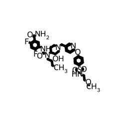 CCC(O)CN(C(=O)Nc1cc(C(N)=O)c(F)cc1F)C1CCN(Cc2ccc(Oc3ccc(S(=O)(=O)NCCOC)cc3)nc2)CC1